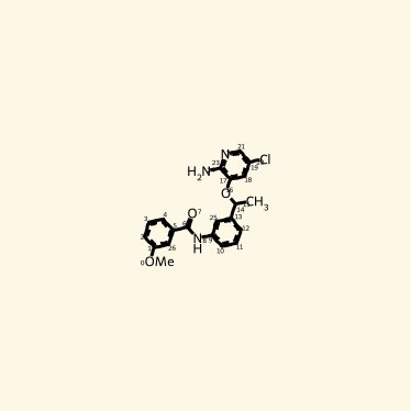 COc1cccc(C(=O)Nc2cccc(C(C)Oc3cc(Cl)cnc3N)c2)c1